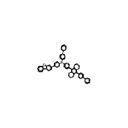 c1ccc(-c2ccc(-c3c4c(c(-c5ccc(N(c6ccc(-c7ccccc7)cc6)c6ccc(-c7ccc8c(c7)oc7ccccc78)cc6)cc5)c5c3CCCC5)CCCC4)cc2)cc1